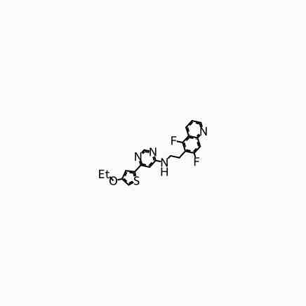 CCOc1csc(-c2cc(NCCc3c(F)cc4ncccc4c3F)ncn2)c1